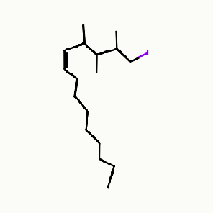 CCCCCCCC/C=C\C(C)C(C)C(C)CI